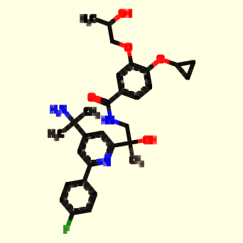 CC(O)COc1cc(C(=O)NCC(O)(c2cc(C(C)(C)N)cc(-c3ccc(F)cc3)n2)C(F)(F)F)ccc1OC1CC1